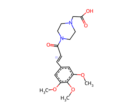 COc1cc(/C=C/C(=O)N2CCN(CC(=O)O)CC2)cc(OC)c1OC